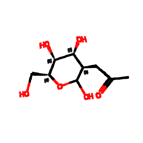 CC(=O)C[C@H]1C(O)O[C@H](CO)[C@H](O)[C@@H]1O